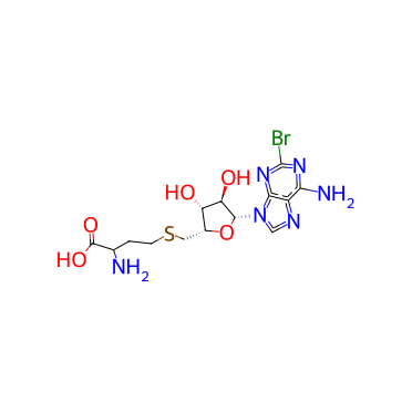 Nc1nc(Br)nc2c1ncn2[C@@H]1O[C@H](CSCCC(N)C(=O)O)[C@H](O)[C@H]1O